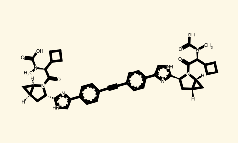 CN(C(=O)O)[C@H](C(=O)N1[C@@H]2C[C@@H]2C[C@H]1c1nc(-c2ccc(C#Cc3ccc(-c4c[nH]c([C@@H]5C[C@H]6C[C@H]6N5C(=O)[C@H](C5CCC5)N(C)C(=O)O)n4)cc3)cc2)c[nH]1)C1CCC1